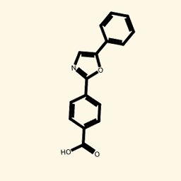 O=C(O)c1ccc(-c2ncc(-c3ccccc3)o2)cc1